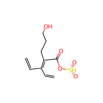 C=CC(C=C)=C(CCCO)C(=O)O[SH](=O)=O